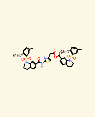 COc1ccc(C)cc1S(=O)(=O)N1CCCc2ccc(C(=O)Nc3nc(CC(=O)OC(=O)c4ccc5c(c4)N(S(=O)(=O)c4cc(C)ccc4OC)CCC5)cs3)cc21